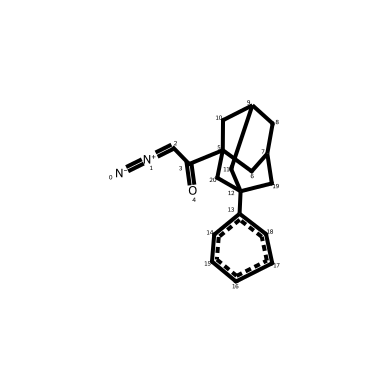 [N-]=[N+]=CC(=O)C12CC3CC(C1)CC(c1ccccc1)(C3)C2